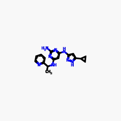 CC(Nc1cc(Nc2cc(C3CC3)[nH]n2)nc(N)n1)c1ccccn1